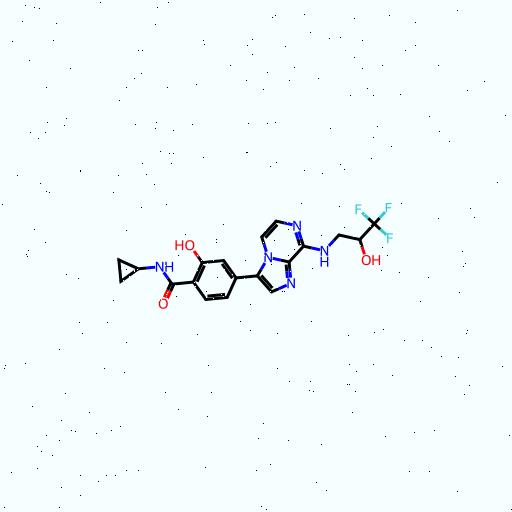 O=C(NC1CC1)c1ccc(-c2cnc3c(NCC(O)C(F)(F)F)nccn23)cc1O